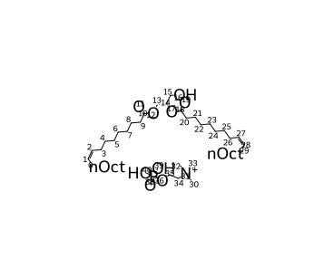 CCCCCCCC/C=C\CCCCCCCC(=O)OC[C@H](CO)OC(=O)CCCCCCC/C=C\CCCCCCCC.C[N+](C)(C)CCOP(=O)(O)O